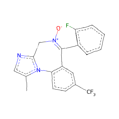 Cc1cnc2n1-c1ccc(C(F)(F)F)cc1C(c1ccccc1F)=[N+]([O-])C2